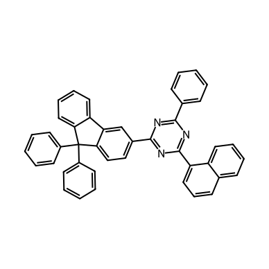 c1ccc(-c2nc(-c3ccc4c(c3)-c3ccccc3C4(c3ccccc3)c3ccccc3)nc(-c3cccc4ccccc34)n2)cc1